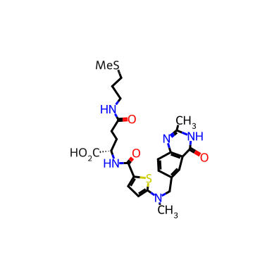 CSCCCNC(=O)CC[C@H](NC(=O)c1ccc(N(C)Cc2ccc3nc(C)[nH]c(=O)c3c2)s1)C(=O)O